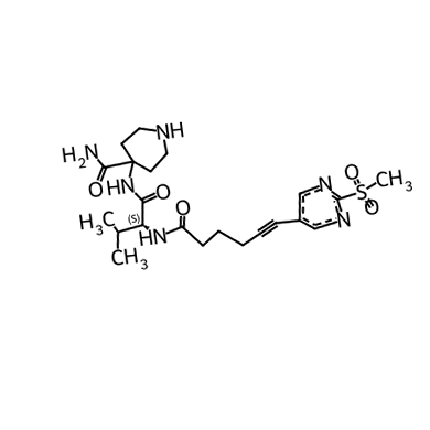 CC(C)[C@H](NC(=O)CCCC#Cc1cnc(S(C)(=O)=O)nc1)C(=O)NC1(C(N)=O)CCNCC1